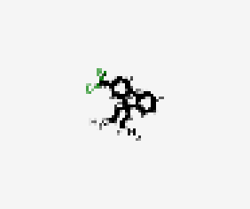 C=CCC1(CC=C)c2ccccc2-c2ccc(C(Br)Br)cc21